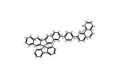 c1ccc2c(c1)-c1ccccc1C21c2cc3ccccc3cc2-c2cc3ccc(-c4ccc(-c5ccc6ccc7cccnc7c6n5)cc4)cc3cc21